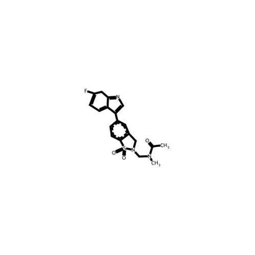 CC(=O)N(C)CN1Cc2cc(C3=CN=C4CC(F)=CC=C34)ccc2S1(=O)=O